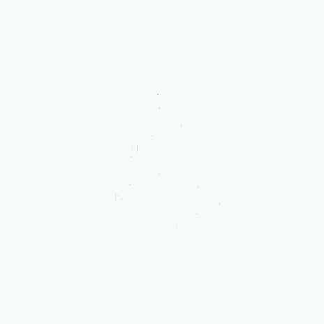 CC(S)(C(=O)[O-])C1CCCC1.CC(S)(C(=O)[O-])C1CCCC1.CC(S)(C(=O)[O-])C1CCCC1.[Au+3]